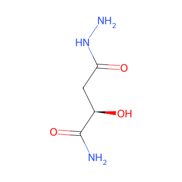 NNC(=O)C[C@@H](O)C(N)=O